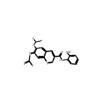 O=Cc1ccccc1NC(=O)C1=Cc2cc(OC(F)F)c(OC(F)F)cc2SC1